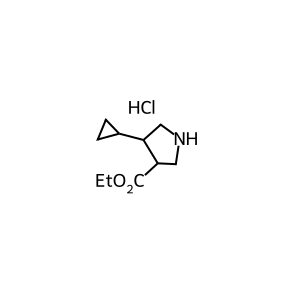 CCOC(=O)C1CNCC1C1CC1.Cl